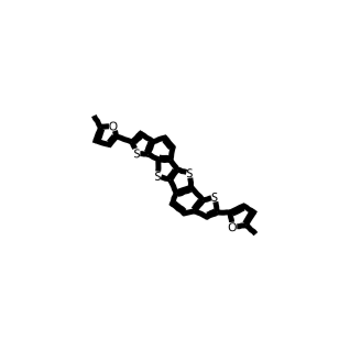 Cc1ccc(-c2cc3ccc4c(sc5c6ccc7cc(-c8ccc(C)o8)sc7c6sc45)c3s2)o1